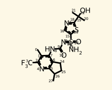 Cc1c(C(F)(F)F)nc2c(c1NC(=O)N=[S@@](N)(=O)c1cnc(C(C)(C)O)s1)CCC2C